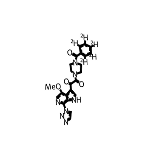 [2H]c1c([2H])c([2H])c(C(=O)N2CCN(C(=O)C(=O)c3c[nH]c4c(-n5ccnn5)ncc(OC)c34)CC2)c([2H])c1[2H]